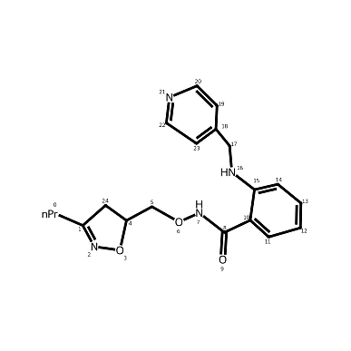 CCCC1=NOC(CONC(=O)c2ccccc2NCc2ccncc2)C1